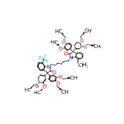 C#CCOc1ccc(C2(C3=CC(OCC#C)C(OCC#C)C=C3)C(=O)N(CCCCCCN3C(=O)C(C4=CCC(OCC#C)C(OC#C)=C4)(c4ccc(OCC#C)c(OCC#C)c4)c4cccc(C(F)(F)F)c43)c3c(CC)cccc32)cc1OC#C